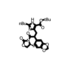 CCCCc1nc(CC(C(=O)N2C(=O)OC[C@@H]2C(C)C)c2ccc3c(c2)OCO3)c(C(=O)OC(C)(C)C)[nH]1